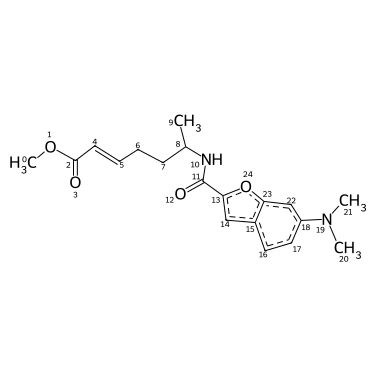 COC(=O)/C=C/CCC(C)NC(=O)c1cc2ccc(N(C)C)cc2o1